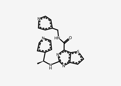 C[C@H](Nc1nc(C(=O)NCc2ccncc2)c2sccc2n1)c1ccncc1